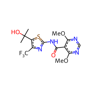 COc1ncnc(OC)c1C(=O)Nc1nc(C(F)(F)F)c(C(C)(C)O)s1